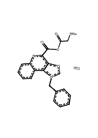 CNCC(=O)OC(=O)c1nc2ccccc2c2c1ncn2Cc1ccccc1.Cl